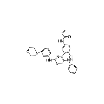 C=CC(=O)Nc1ccc(Cl)c(-c2nc(Nc3cccc(N4CCOCC4)c3)ncc2Nc2ccccc2)c1